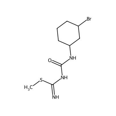 CSC(=N)NC(=O)NC1CCCC(Br)C1